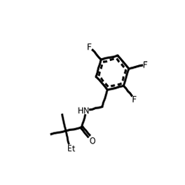 CCC(C)(C)C(=O)NCc1cc(F)cc(F)c1F